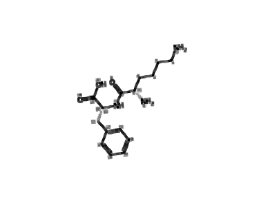 NCCCC[C@H](N)C(=O)N[C@H](Cc1ccccc1)C(=O)O